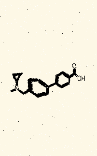 CN(Cc1ccc(-c2ccc(C(=O)O)cc2)cc1)C1CC1